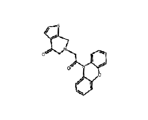 O=C1CN(CC(=O)N2c3ccccc3Oc3ccccc32)Cc2sccc21